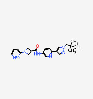 CC(C)(C)Cn1cc(-c2ccc(NC(=O)C3CN(c4cccnn4)C3)cn2)cn1